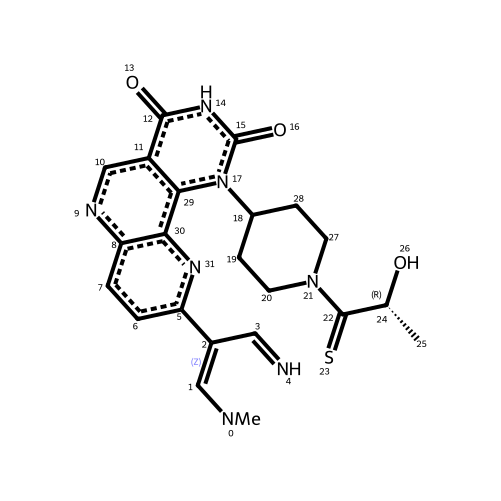 CN/C=C(\C=N)c1ccc2ncc3c(=O)[nH]c(=O)n(C4CCN(C(=S)[C@@H](C)O)CC4)c3c2n1